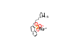 CCCCCCCc1ccc2ccccc2c1S(=O)(=O)[O-].[Na+]